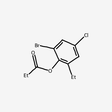 CCC(=O)Oc1c(Br)cc(Cl)cc1CC